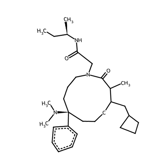 CC[C@@H](C)NC(=O)CN1CCC[C@](c2ccccc2)(N(C)C)CCCC(CC2CCC2)C(C)C1=O